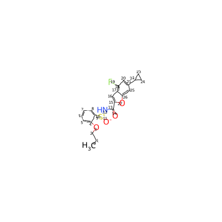 CCCOc1ccccc1[S+]([O-])NC(=O)c1cc2c(F)cc(C3CC3)cc2o1